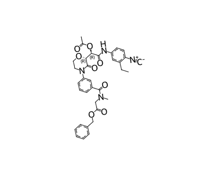 [C-]#[N+]c1ccc(NC(=O)[C@H](OC(C)=O)[C@H]2OCCN(c3cccc(C(=O)N(C)CC(=O)OCc4ccccc4)c3)C2=O)cc1CC